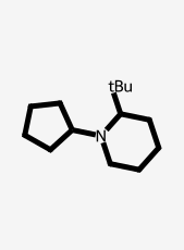 CC(C)(C)C1CCCCN1C1CCCC1